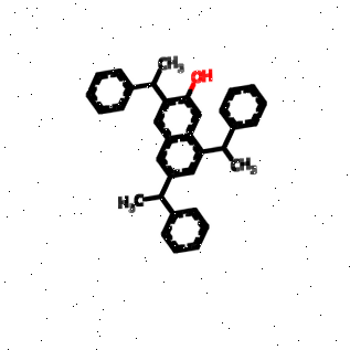 CC(c1ccccc1)c1cc(C(C)c2ccccc2)c2cc(O)c(C(C)c3ccccc3)cc2c1